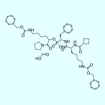 O=C(NCCCCC(OP(=O)(O)[C@@H](Cc1ccccc1)NC(=O)[C@H](CCCCNC(=O)OCc1ccccc1)NC(=O)C1CCC1)C(=O)N1CCC[C@H]1C(=O)O)OCc1ccccc1